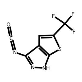 O=C=Nc1n[nH]c2sc(C(F)(F)F)cc12